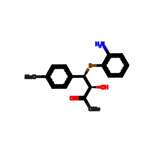 COC(=O)[C@@H](O)[C@@H](Sc1ccccc1N)c1ccc(OC)cc1